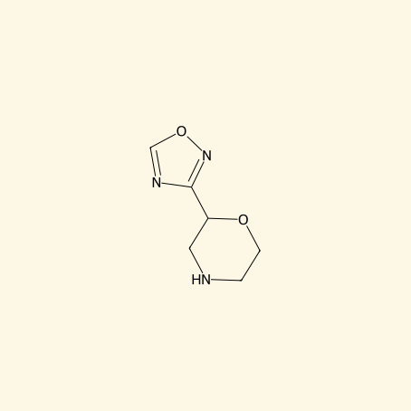 c1nc(C2CNCCO2)no1